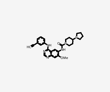 C#Cc1cccc(Nc2ncnc3cc(OC)c(NC(=O)N4CCC(N5CCCC5)CC4)cc23)c1